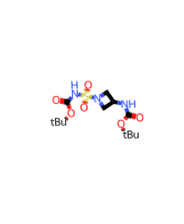 CC(C)(C)OC(=O)NC1CN(S(=O)(=O)NC(=O)OC(C)(C)C)C1